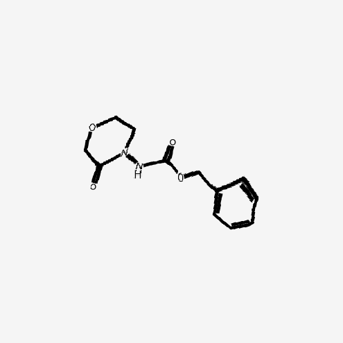 O=C(NN1CCOCC1=O)OCc1ccccc1